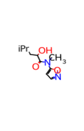 CC(C)CC(O)C(=O)N(C)c1ccno1